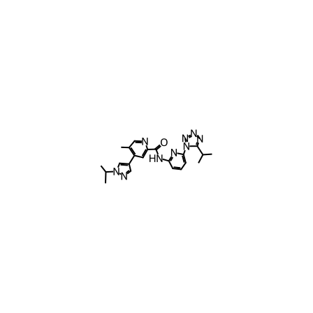 Cc1cnc(C(=O)Nc2cccc(-n3nnnc3C(C)C)n2)cc1-c1cnn(C(C)C)c1